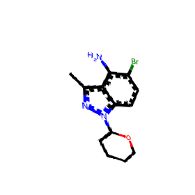 Cc1nn(C2CCCCO2)c2ccc(Br)c(N)c12